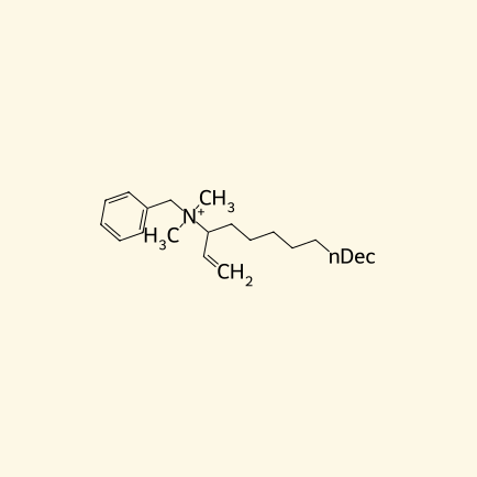 C=CC(CCCCCCCCCCCCCCC)[N+](C)(C)Cc1ccccc1